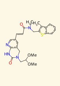 COC(CN1Cc2cc(C=CC(=O)N(C)Cc3sc4ccccc4c3C)cnc2NC1=O)OC